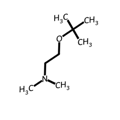 CN(C)CCOC(C)(C)C